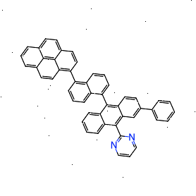 c1ccc(-c2ccc3c(-c4cccc5c(-c6ccc7ccc8cccc9ccc6c7c89)cccc45)c4ccccc4c(-c4ncccn4)c3c2)cc1